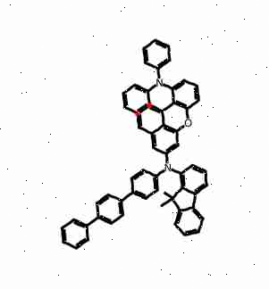 CC1(C)c2ccccc2-c2cccc(N(c3ccc(-c4ccc(-c5ccccc5)cc4)cc3)c3cc4c5c(cccc5c3)-c3c(cccc3N(c3ccccc3)c3ccccc3)O4)c21